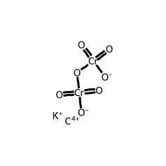 [C+4].[K+].[O]=[Cr](=[O])([O-])[O][Cr](=[O])(=[O])[O-]